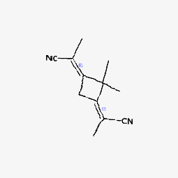 C/C(C#N)=C1\C/C(=C(/C)C#N)C1(C)C